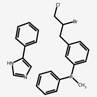 CB(c1ccccc1)c1cccc(CC(Br)CCl)c1.c1ccc(-c2cnc[nH]2)cc1